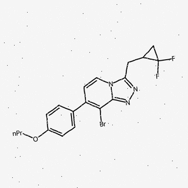 CCCOc1ccc(-c2ccn3c(CC4CC4(F)F)nnc3c2Br)cc1